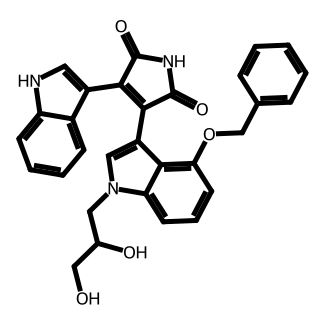 O=C1NC(=O)C(c2cn(CC(O)CO)c3cccc(OCc4ccccc4)c23)=C1c1c[nH]c2ccccc12